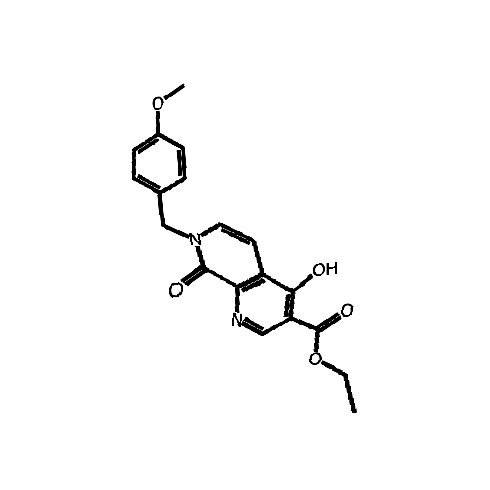 CCOC(=O)c1cnc2c(=O)n(Cc3ccc(OC)cc3)ccc2c1O